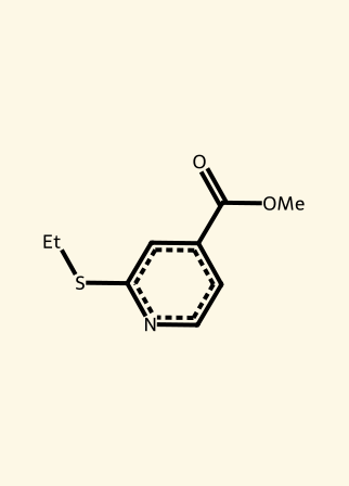 CCSc1cc(C(=O)OC)ccn1